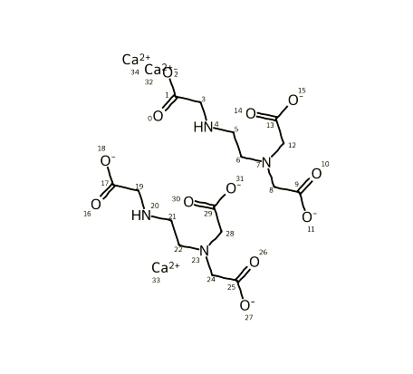 O=C([O-])CNCCN(CC(=O)[O-])CC(=O)[O-].O=C([O-])CNCCN(CC(=O)[O-])CC(=O)[O-].[Ca+2].[Ca+2].[Ca+2]